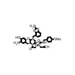 C#CCN(C(=O)NCc1ccc(OC)cc1)N1CC(=O)N2[C@@H](Cc3ccc(O)c(N)c3)C(=O)N(Cc3cccc4sc(N)nc34)C[C@@H]21